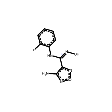 Nc1nonc1/C(=N\O)Nc1ccccc1F